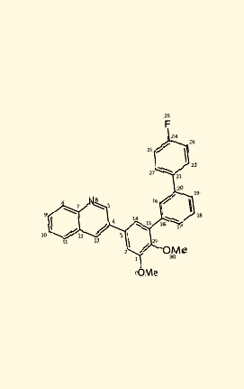 COc1cc(-c2cnc3ccccc3c2)cc(-c2cccc(-c3ccc(F)cc3)c2)c1OC